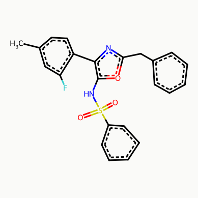 Cc1ccc(-c2nc(Cc3ccccc3)oc2NS(=O)(=O)c2ccccc2)c(F)c1